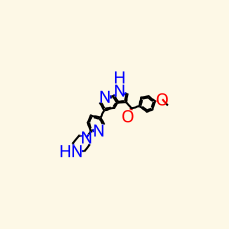 COc1ccc(C(=O)c2c[nH]c3ncc(-c4ccc(N5CCNCC5)nc4)cc23)cc1